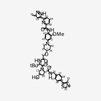 COc1cc(N2CCC(OCC(=O)N[C@H](C(=O)N3C[C@H](O)C[C@H]3C(=O)NCc3ccc(-c4scnc4C)cc3)C(C)(C)C)CC2)ccc1NC(=O)c1cccc(-c2cc(C)n[nH]2)n1